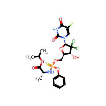 CC(C)OC(=O)[C@@H](C)NP(=S)(OC[C@H]1O[C@@H](n2cc(F)c(=O)[nH]c2=O)C(Cl)(Cl)[C@@H]1O)Oc1ccccc1